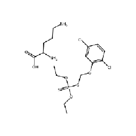 CCOP(=S)(OCC)SCSc1cc(Cl)ccc1Cl.NCCCC(N)C(=O)O